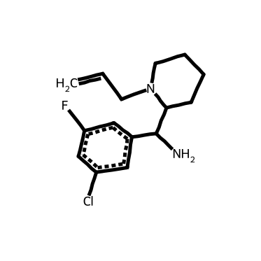 C=CCN1CCCCC1C(N)c1cc(F)cc(Cl)c1